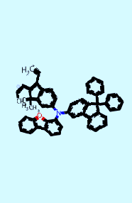 C=CC1=C(/C=C\C)C(C)(C)c2cc(N(c3ccc4c(c3)-c3ccccc3C4(c3ccccc3)c3ccccc3)c3cccc4c3oc3ccccc34)ccc21